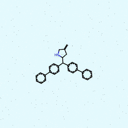 C=C1CNC(C(c2ccc(-c3ccccc3)cc2)c2ccc(-c3ccccc3)cc2)C1